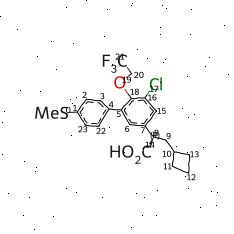 CSc1ccc(-c2cc([C@@H](CC3CCC3)C(=O)O)cc(Cl)c2OCC(F)(F)F)cc1